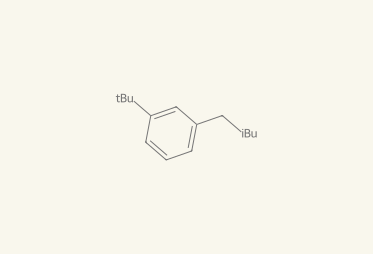 CCC(C)Cc1cccc(C(C)(C)C)c1